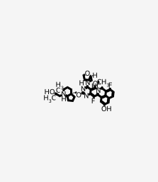 C#Cc1c(F)ccc2cc(O)cc(-c3nc(OC)c4c(N5C[C@H]6C[C@@H]5CO6)nc(OC[C@]56CCC[C@H]5N(CC(C)(C)O)CCC6)nc4c3F)c12